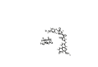 Cc1nc(N)ccc1CNC(=O)[C@H](C)NC(=O)[C@H]1C[C@H](Cc2ccc(-c3ccc(F)cc3C(N)=O)cc2)CN1.O=C(O)C(F)(F)F.O=C(O)C(F)(F)F